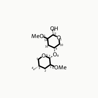 COC1C[C@H](C)CO[C@@H]1O[C@H]1CO[C@@H](O)C(OC)C1